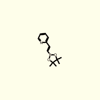 CC1(C)OB(C=Cc2ccccn2)OC1(C)C